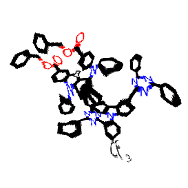 O=C(OCc1ccccc1)c1ccc2c(c1)B1c3cc(C(=O)OCc4ccccc4)ccc3N(c3ccccc3)c3cc(-c4ccc5c(c4)c4cc(-c6nc(-c7ccccc7)nc(-c7ccccc7)n6)ccc4n5-c4ccc(C(F)(F)F)cc4-c4nc(-c5ccccc5)nc(-c5ccccc5)n4)cc(c31)N2c1ccccc1